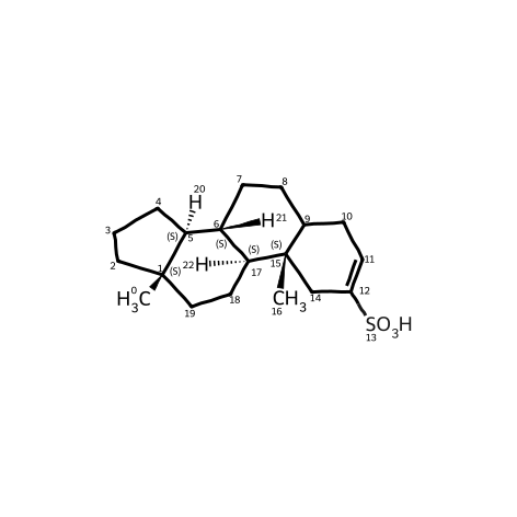 C[C@@]12CCC[C@H]1[C@@H]1CCC3CC=C(S(=O)(=O)O)C[C@]3(C)[C@H]1CC2